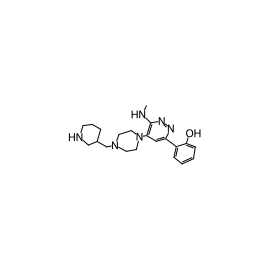 CNc1nnc(-c2ccccc2O)cc1N1CCN(CC2CCCNC2)CC1